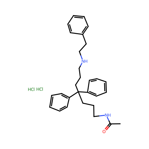 CC(=O)NCCCC(CCCNCCc1ccccc1)(c1ccccc1)c1ccccc1.Cl.Cl